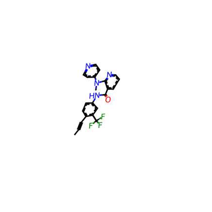 CC#Cc1ccc(NC(=O)c2cccnc2N(C)c2ccncc2)cc1C(F)(F)F